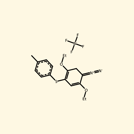 CCOC1=CC(Sc2ccc(C)cc2)=C(OCC)CC1=[N+]=[N-].F[B-](F)(F)F